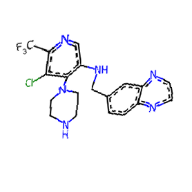 FC(F)(F)c1ncc(NCc2ccc3nccnc3c2)c(N2CCNCC2)c1Cl